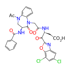 CC(=O)N1C[C@H](NC(=O)c2ccccc2)C(=O)N(CC(=O)N[C@@H](CC(=O)O)C(=O)c2nc3cc(Cl)cc(Cl)c3o2)c2ccccc21